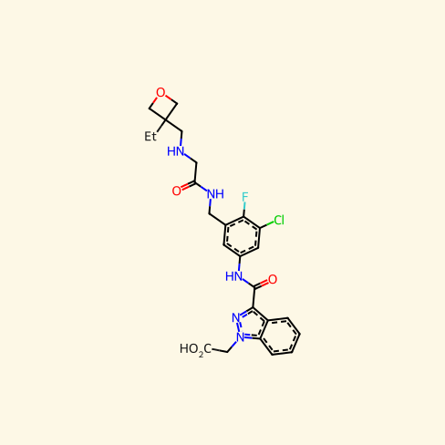 CCC1(CNCC(=O)NCc2cc(NC(=O)c3nn(CC(=O)O)c4ccccc34)cc(Cl)c2F)COC1